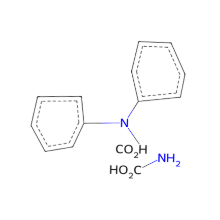 NC(=O)O.O=C(O)N(c1ccccc1)c1ccccc1